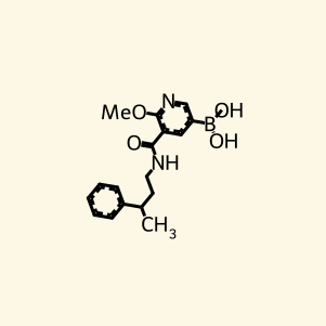 COc1ncc(B(O)O)cc1C(=O)NCCC(C)c1ccccc1